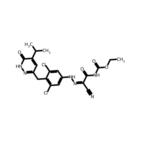 CCOC(=O)NC(=O)/C(C#N)=N\Nc1cc(Cl)c(Cc2cc(C(C)C)c(=O)[nH]n2)c(Cl)c1